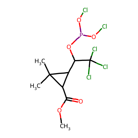 COC(=O)C1C(C(OP(OCl)OCl)C(Cl)(Cl)Cl)C1(C)C